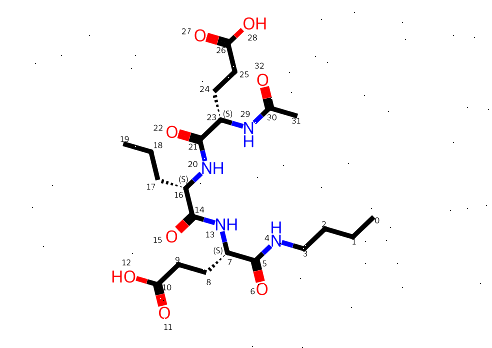 CCCCNC(=O)[C@H](CCC(=O)O)NC(=O)[C@H](CCC)NC(=O)[C@H](CCC(=O)O)NC(C)=O